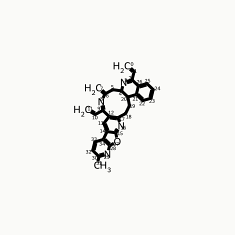 C=CC1=NC2CC(=C)/N=C(/C=C)c3cc4c(nc3CCC2c2ccccc21)oc1nc(C)ccc14